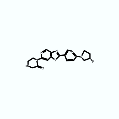 O=C1CNCCN1c1cc2sc(-c3ccc(N4CC[C@@H](F)C4)nc3)nc2cn1